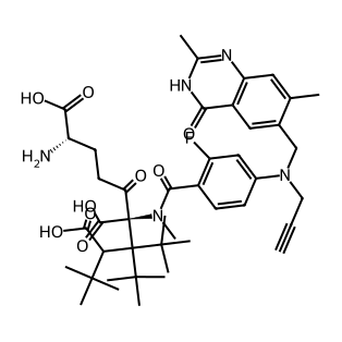 C#CCN(Cc1cc2c(=O)[nH]c(C)nc2cc1C)c1ccc(C(=O)N(C)[C@@](C(=O)O)(C(=O)CC[C@H](N)C(=O)O)C(C(C(=O)O)C(C)(C)C)(C(C)(C)C)C(C)(C)C)c(F)c1